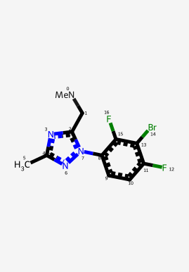 CNCc1nc(C)nn1-c1ccc(F)c(Br)c1F